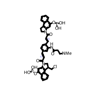 CNCCC(=O)Nc1cc(/C=C/C(=O)N2CC(CCl)c3c2cc(OP(O)O)c2ccccc32)ccc1/C=C/C(=O)N1CCc2c1cc(OP(O)O)c1ccccc21